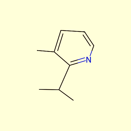 Cc1cccnc1C(C)C